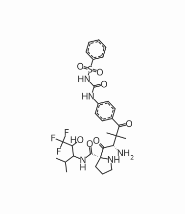 CC(C)C(NC(=O)[C@@]1(C(=O)[C@@H](N)C(C)(C)C(=O)c2ccc(NC(=O)NS(=O)(=O)c3ccccc3)cc2)CCCN1)C(O)C(F)(F)F